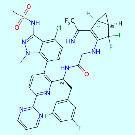 Cn1nc(NS(C)(=O)=O)c2c(Cl)ccc(-c3ccc(-c4ncccn4)nc3[C@H](Cc3cc(F)cc(F)c3)NC(=O)CNC3=C(C(=N)C(F)(F)F)[C@H]4C[C@H]4C3(F)F)c21